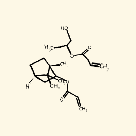 C=CC(=O)OC(C)CO.C=CC(=O)OC1C[C@H]2CC[C@@]1(C)C2(C)C